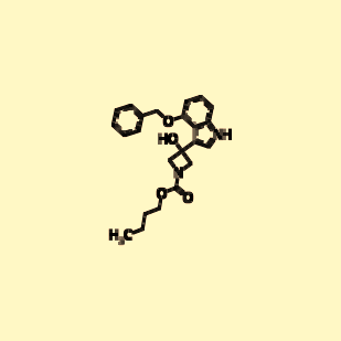 CCCCOC(=O)N1CC(O)(c2c[nH]c3cccc(OCc4ccccc4)c23)C1